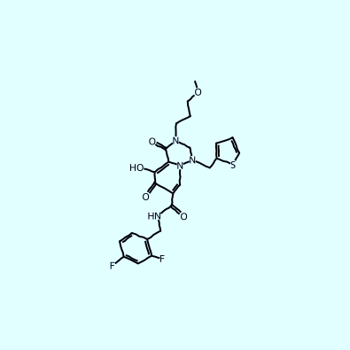 COCCCN1CN(Cc2cccs2)n2cc(C(=O)NCc3ccc(F)cc3F)c(=O)c(O)c2C1=O